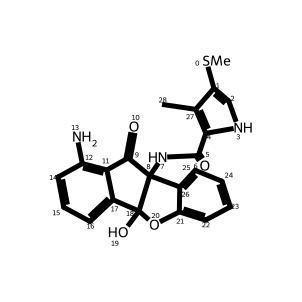 CSc1c[nH]c(C(=O)NC23C(=O)c4c(N)cccc4C2(O)Oc2ccccc23)c1C